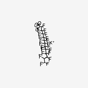 O=S(=O)([O-])C(F)C(F)(F)C(F)(F)C(F)(F)C(F)(F)C(F)(F)C(F)(F)C(F)(F)C(F)(F)C(F)C(F)C(F)F.[K+]